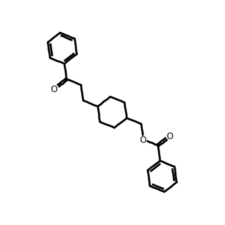 O=C(CCC1CCC(COC(=O)c2ccccc2)CC1)c1ccccc1